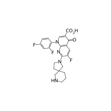 O=C(O)c1cn(-c2ccc(F)cc2F)c2nc(N3CCC4(CCCNC4)C3)c(F)cc2c1=O